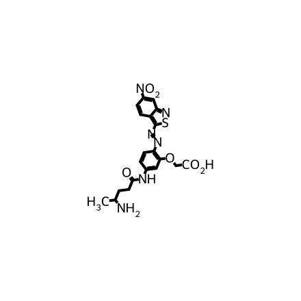 CC(N)CCC(=O)Nc1ccc(N=Nc2snc3cc([N+](=O)[O-])ccc23)c(OCC(=O)O)c1